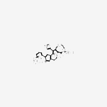 COc1cc2c(cc1-c1cccc(F)n1)-c1c(-c3cncs3)c3c(n1CC2)C(=O)N(C(C)(C)C)CCOC3